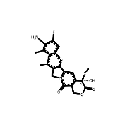 CC[C@@]1(O)C(=O)OCc2c1cc1n(c2=O)Cc2c-1nc1cc(F)c(N)c(C)c1c2C